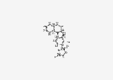 Cc1c([N+]2(I)C=CN(C)C2)ccc2c1oc1ccc3ccccc3c12